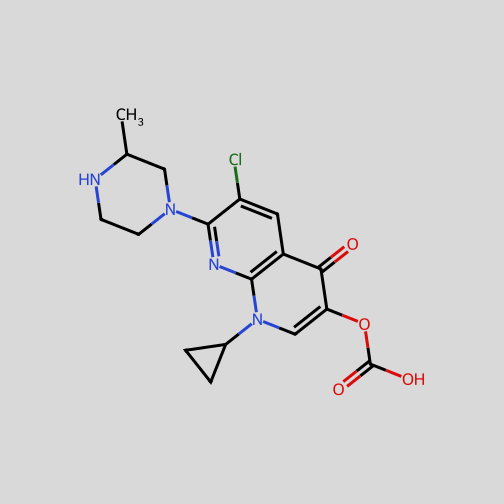 CC1CN(c2nc3c(cc2Cl)c(=O)c(OC(=O)O)cn3C2CC2)CCN1